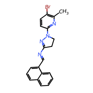 Cc1nc(N2CCC(/N=C/c3cccc4ccccc34)=N2)ccc1Br